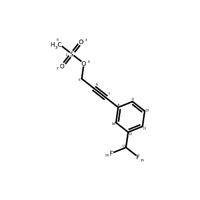 CS(=O)(=O)OCC#Cc1cccc(C(F)F)c1